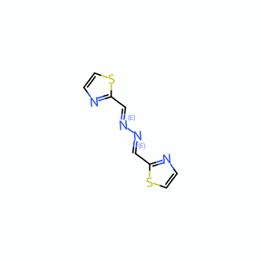 C(=N\N=C\c1nccs1)/c1nccs1